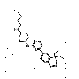 CCC1(CC)CN=Cc2ccc(-c3ccnc(NC4CCC(NCCOC)CC4)n3)cc21